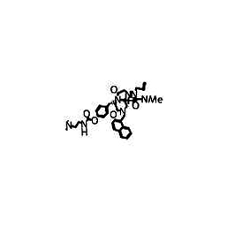 C=CCN(C(=O)NC)N1CC(=O)N2[C@@H](Cc3ccc(OC(=O)NCCN(C)C)cc3)C(=O)N(Cc3cccc4ccccc34)C[C@@H]21